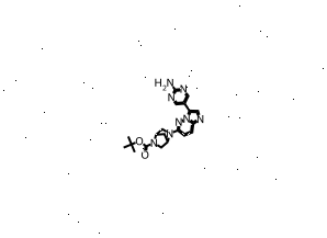 CC(C)(C)OC(=O)N1CC2CC1CN2c1ccc2ncc(-c3cnc(N)nc3)n2n1